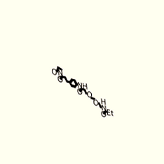 CCC(=O)NCCOCCOCCC(=O)Nc1ccc(CCC(=O)N2CCC2=O)cc1